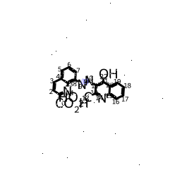 O=C(O)c1ccc2cccc(/N=N/c3c(C(=O)O)nc4ccccc4c3O)c2n1